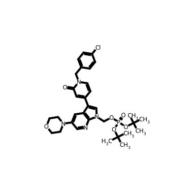 CC(C)(C)OP(=O)(OCn1cc(-c2ccn(Cc3ccc(Cl)cc3)c(=O)c2)c2cc(N3CCOCC3)cnc21)OC(C)(C)C